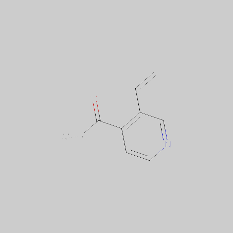 C=Cc1cnccc1C(=O)OC